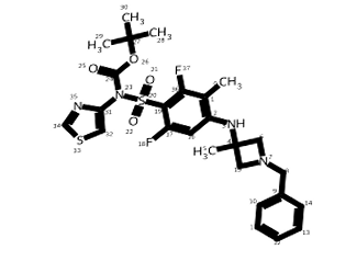 Cc1c(NC2(C)CN(Cc3ccccc3)C2)cc(F)c(S(=O)(=O)N(C(=O)OC(C)(C)C)c2cscn2)c1F